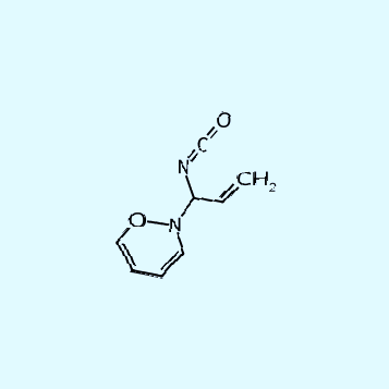 C=CC(N=C=O)N1C=CC=CO1